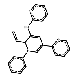 O=CC1C(Nc2ccccn2)=CC(c2ccccn2)=CN1c1ccccc1